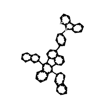 c1ccc2cc(-c3c4c(c(-c5ccc6ccccc6c5)c5ccccc35)-c3ccc(-c5ccc(-n6c7ccccc7c7cccnc76)cc5)c5cccc-4c35)ccc2c1